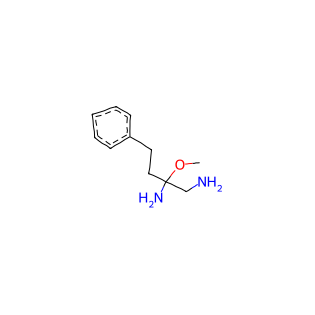 COC(N)(CN)CCc1ccccc1